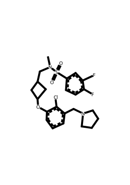 CN(CC1CC(Oc2cccc(CN3CCCC3)c2Cl)C1)S(=O)(=O)c1ccc(F)c(F)c1